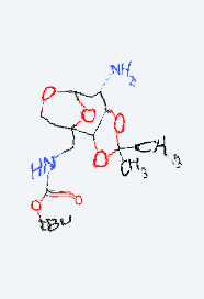 CC(C)(C)OC(=O)NCC12COC(O1)[C@H](N)C1OC(C)(C)OC12